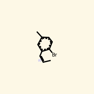 C/C=C\c1cc(C)ccc1Br